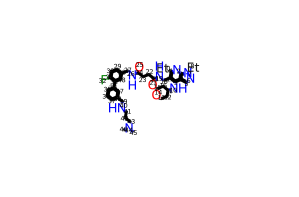 CCc1nc2c(cnn2CC)c(NC2CCOCC2)c1CNC(=O)CCC(=O)NCc1ccc(F)c(-c2cccc(CNCCCN(C)C)c2)c1